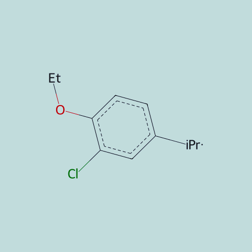 CCOc1ccc([C](C)C)cc1Cl